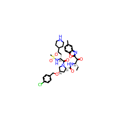 CC[C@H](NC(=O)[C@@H]1C[C@@H](OCc2ccc(Cl)cc2)CN1C(=O)[C@@H](CCC1CCNCC1)NS(C)(=O)=O)C(=O)c1nc2cc(C)ccc2o1